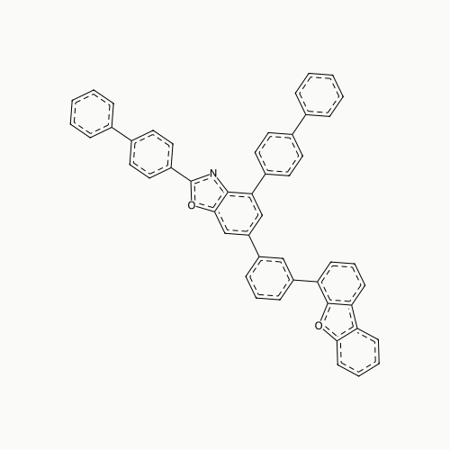 c1ccc(-c2ccc(-c3nc4c(-c5ccc(-c6ccccc6)cc5)cc(-c5cccc(-c6cccc7c6oc6ccccc67)c5)cc4o3)cc2)cc1